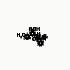 Cc1cc(-c2cc(NC(=O)[C@H](Cc3ccccc3)NCc3cscn3)cc(C(=O)O)c2)ccn1